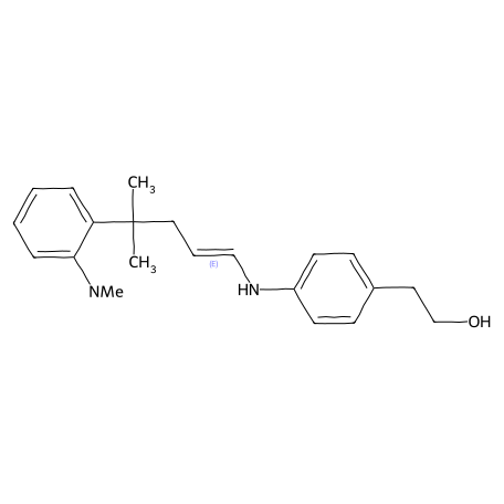 CNc1ccccc1C(C)(C)C/C=C/Nc1ccc(CCO)cc1